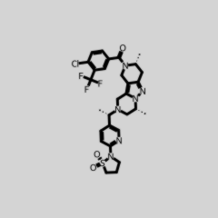 C[C@@H]1Cc2nn3c(c2CN1C(=O)c1ccc(Cl)c(C(F)(F)F)c1)CN([C@@H](C)c1ccc(N2CCCS2(=O)=O)nc1)C[C@H]3C